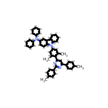 Cc1ccc(-c2cc(-c3c(C)cc(-n4c5ccccc5c5cc(N(c6ccccc6)c6ccccc6)ccc54)cc3C)nc(-c3ccc(C)cc3)n2)cc1